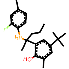 CCCC(C)(Pc1ccc(C)cc1F)c1cc(C(C)(C)C)cc(C)c1O